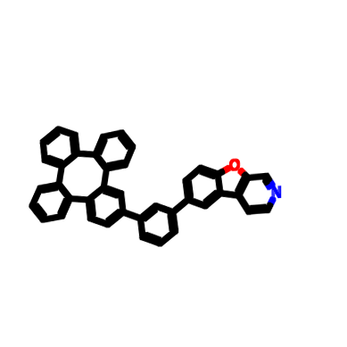 c1cc(-c2ccc3c(c2)-c2ccccc2-c2ccccc2-c2ccccc2-3)cc(-c2ccc3oc4cnccc4c3c2)c1